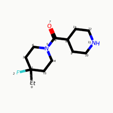 CCC1(F)CCN(C(=O)C2CCNCC2)CC1